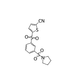 N#Cc1ccc(S(=O)(=O)c2cccc(S(=O)(=O)N3CCCC3)c2)s1